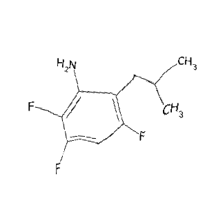 CC(C)Cc1c(F)cc(F)c(F)c1N